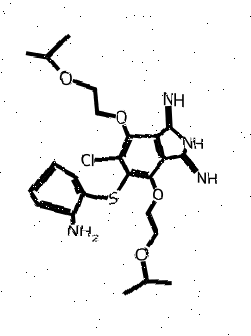 CC(C)OCCOc1c(Cl)c(Sc2ccccc2N)c(OCCOC(C)C)c2c1C(=N)NC2=N